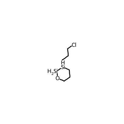 ClCCC[SiH]1CCCO[SiH2]1